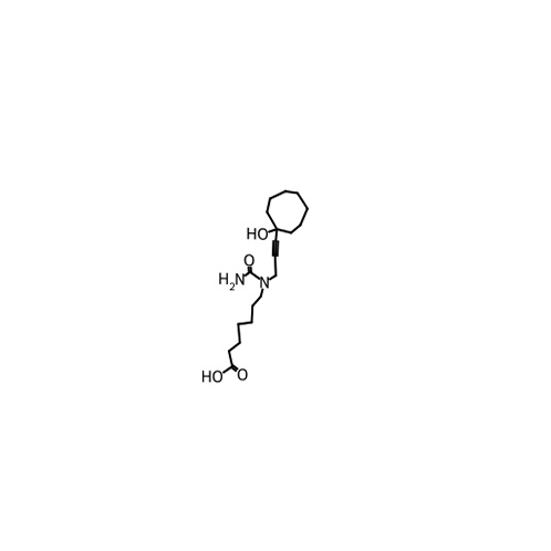 NC(=O)N(CC#CC1(O)CCCCCCC1)CCCCCCC(=O)O